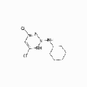 ClC1=CC(Cl)=NN(NC2CCCCC2)N1